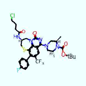 C[C@@H]1CN(c2nc(=O)n3c4c(c(-c5ccc(F)cc5)c(C(F)(F)F)cc24)SC[C@@H](NC(=O)CCCCl)C3)C[C@@H](C)N1C(=O)OC(C)(C)C